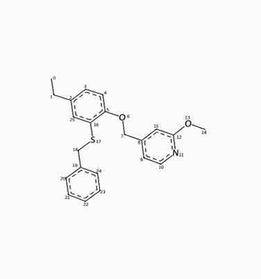 CCc1ccc(OCc2ccnc(OC)c2)c(SCc2ccccc2)c1